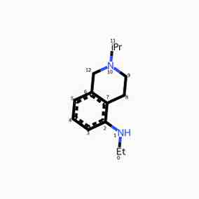 CCNc1cccc2c1CCN(C(C)C)C2